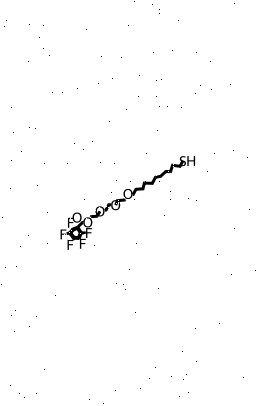 O=C(OCCOCCOCCOCCCCCCCCCCCS)c1c(F)c(F)c(F)c(F)c1F